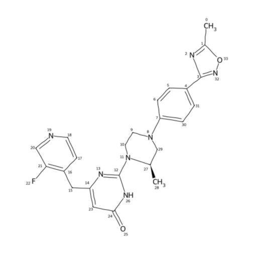 Cc1nc(-c2ccc(N3CCN(c4nc(Cc5ccncc5F)cc(=O)[nH]4)[C@H](C)C3)cc2)no1